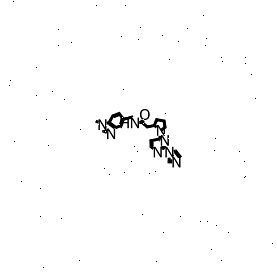 Cn1cnc2cc(CNC(=O)CC3CCCN3c3ccnc(-n4ccnc4)n3)ccc21